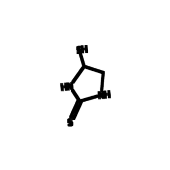 S=C1NCC(S)N1